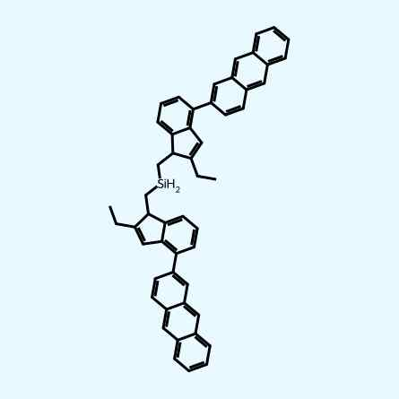 CCC1=Cc2c(-c3ccc4cc5ccccc5cc4c3)cccc2C1C[SiH2]CC1C(CC)=Cc2c(-c3ccc4cc5ccccc5cc4c3)cccc21